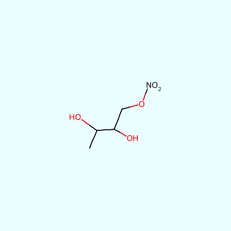 CC(O)C(O)CO[N+](=O)[O-]